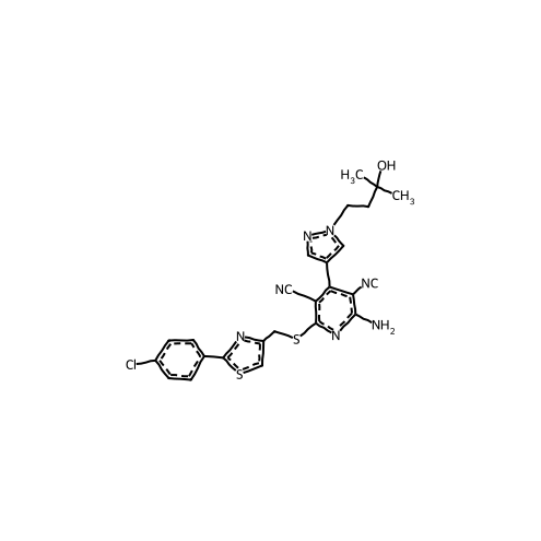 [C-]#[N+]c1c(N)nc(SCc2csc(-c3ccc(Cl)cc3)n2)c(C#N)c1-c1cnn(CCC(C)(C)O)c1